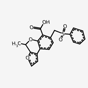 CC1Oc2c(ccc(CS(=O)(=O)c3ccccc3)c2C(=O)O)-c2ccoc21